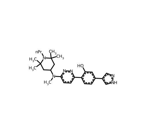 CCCN1C(C)(C)CC(N(C)c2ccc(-c3ccc(-c4cn[nH]c4)cc3O)nn2)CC1(C)C